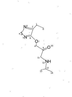 CCc1nsnc1OCC(=O)CNC(C)C